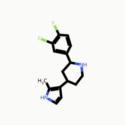 Cc1[nH]ccc1C1CCNC(c2ccc(F)c(F)c2)C1